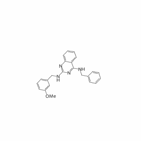 COc1cccc(CNc2nc(NCc3ccccc3)c3ccccc3n2)c1